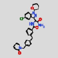 NC(=O)C(NC(=O)c1cccc(Cc2ccc(Cn3ccccc3=O)cc2)c1)c1nn(C2CCCCO2)c2ccc(Cl)cc12